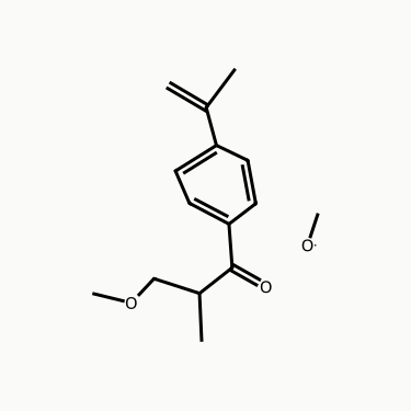 C=C(C)c1ccc(C(=O)C(C)COC)cc1.C[O]